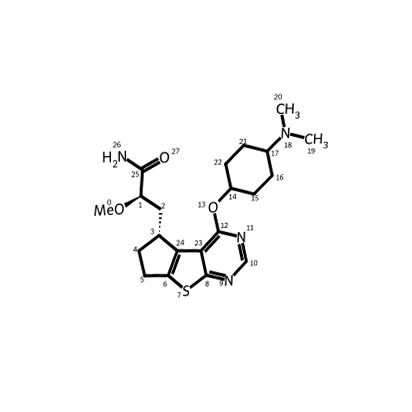 CO[C@H](C[C@H]1CCc2sc3ncnc(OC4CCC(N(C)C)CC4)c3c21)C(N)=O